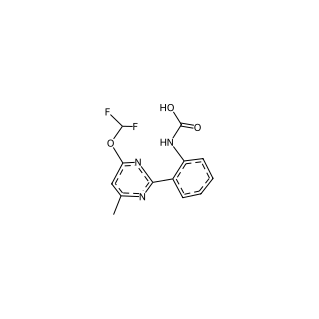 Cc1cc(OC(F)F)nc(-c2ccccc2NC(=O)O)n1